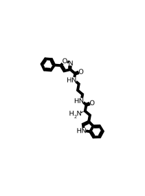 N[C@@H](Cc1c[nH]c2ccccc12)C(=O)NCCCNC(=O)c1cc(-c2ccccc2)on1